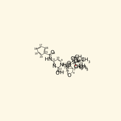 CC(C)[C@@]12CO[C@@H]([C@H](n3ccc(NC(=O)c4ccccc4)nc3=O)O1)[C@@H]2O[Si](C)(C)C(C)(C)C